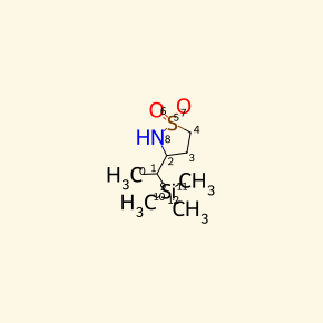 CC(C1CCS(=O)(=O)N1)[Si](C)(C)C